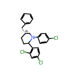 Clc1ccc(N2C[C@@H](Cc3ccccc3)CCC2c2ccc(Cl)cc2Cl)cc1